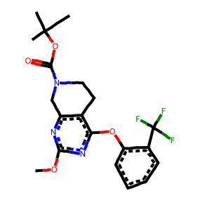 COc1nc2c(c(Oc3ccccc3C(F)(F)F)n1)CCN(C(=O)OC(C)(C)C)C2